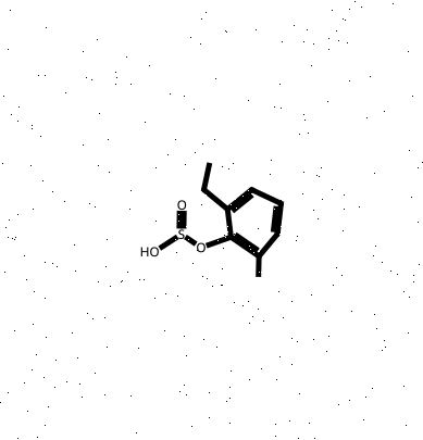 CCc1cccc(C)c1OS(=O)O